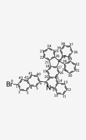 Brc1ccc2cc(-c3nc4ccccc4c4cc5c(cc34)-c3ccccc3C5(c3ccccc3)c3ccccc3)ccc2c1